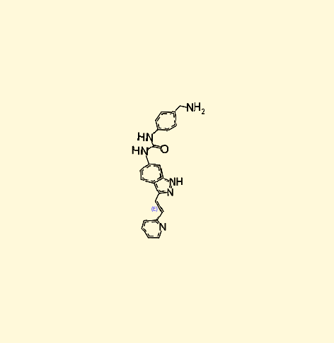 NCc1ccc(NC(=O)Nc2ccc3c(/C=C/c4ccccn4)n[nH]c3c2)cc1